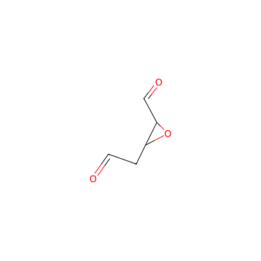 O=CCC1OC1C=O